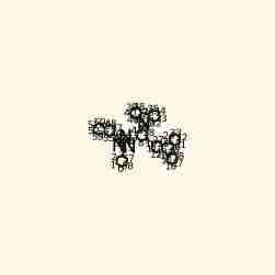 c1ccc(-c2nc(-c3cc(-c4ccc5c6ccccc6c6ccccc6c5c4)cc(-n4c5ccccc5c5ccccc54)c3)nc(-c3ccc4ccccc4c3)n2)cc1